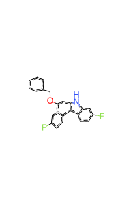 Fc1ccc2c(c1)[nH]c1cc(OCc3ccccc3)c3cc(F)ccc3c12